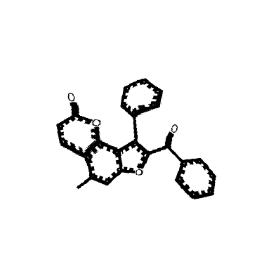 Cc1cc2oc(C(=O)c3ccccc3)c(-c3ccccc3)c2c2oc(=O)ccc12